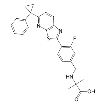 CC(C)(NCc1ccc(-c2nc3ccc(C4(c5ccccc5)CC4)nc3s2)c(F)c1)C(=O)O